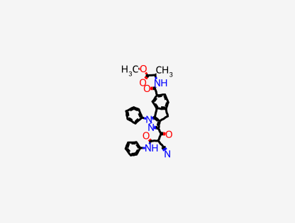 COC(=O)[C@H](C)NC(=O)c1ccc2c(c1)-c1c(c(C(=O)C(C#N)C(=O)Nc3ccccc3)nn1-c1ccccc1)C2